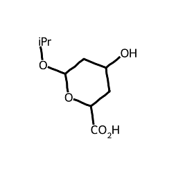 CC(C)OC1CC(O)CC(C(=O)O)O1